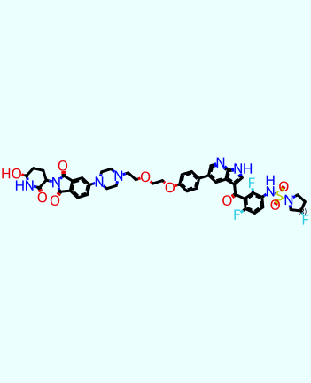 O=C(c1c(F)ccc(NS(=O)(=O)N2CC[C@@H](F)C2)c1F)c1c[nH]c2ncc(-c3ccc(OCCOCCN4CCN(c5ccc6c(c5)C(=O)N(C5CCC(O)NC5=O)C6=O)CC4)cc3)cc12